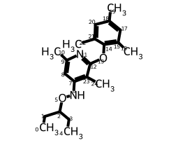 CCC(CC)ONc1cc(C)nc(Oc2c(C)cc(C)cc2C)c1C